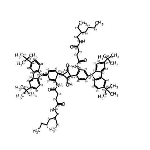 CCCCC(CC)CNC(=O)CCC(=O)NC1=CC(=[N+]2c3ccc(C(C)(C)C)cc3-c3cc(C(C)(C)C)ccc32)C=C/C1=C1\C(=O)C(c2ccc(-n3c4ccc(C(C)(C)C)cc4c4cc(C(C)(C)C)ccc43)cc2NC(=O)CCC(=O)NCC(CC)CCCC)=C1O